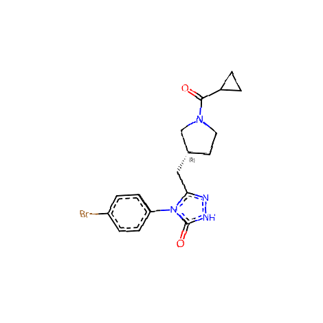 O=C(C1CC1)N1CC[C@H](Cc2n[nH]c(=O)n2-c2ccc(Br)cc2)C1